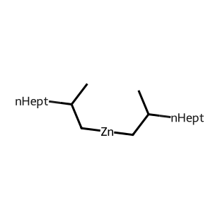 CCCCCCCC(C)[CH2][Zn][CH2]C(C)CCCCCCC